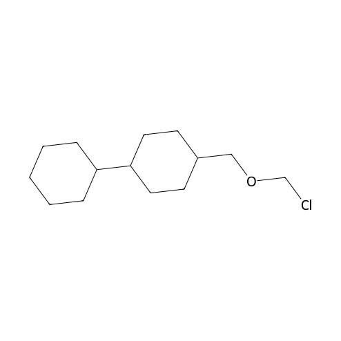 ClCOCC1CCC(C2CCCCC2)CC1